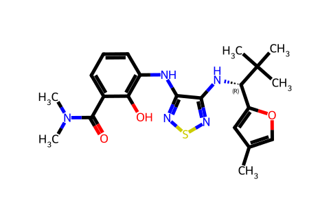 Cc1coc([C@H](Nc2nsnc2Nc2cccc(C(=O)N(C)C)c2O)C(C)(C)C)c1